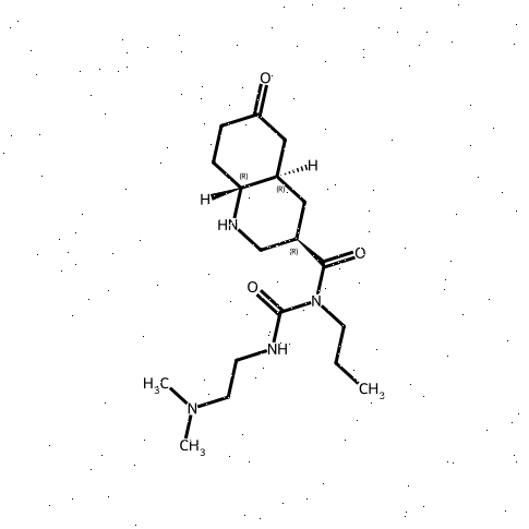 CCCN(C(=O)NCCN(C)C)C(=O)[C@H]1CN[C@@H]2CCC(=O)C[C@H]2C1